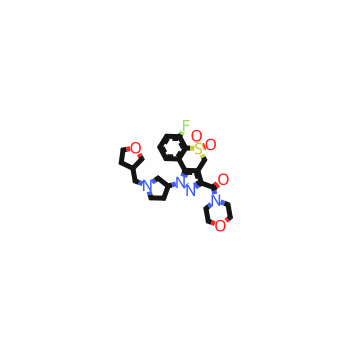 O=C(c1nn(C2CCN(CC3CCOC3)C2)c2c1CS(=O)(=O)c1c(F)cccc1-2)N1CCOCC1